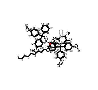 CCCCCCCCCO[C@H]1C[C@H]([N+]2(C(c3ccccc3)(c3ccc(OC)cc3)c3ccc(OC)cc3)C=C(C)C(=O)NC2=O)O[C@@H]1COC(c1ccccc1)(c1ccc(OC)cc1)c1ccc(OC)cc1